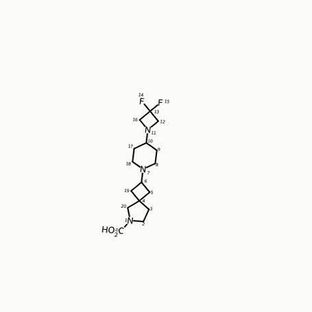 O=C(O)N1CCC2(CC(N3CCC(N4CC(F)(F)C4)CC3)C2)C1